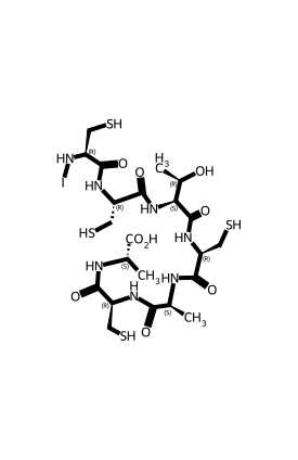 C[C@H](NC(=O)[C@H](CS)NC(=O)[C@H](C)NC(=O)[C@H](CS)NC(=O)[C@@H](NC(=O)[C@H](CS)NC(=O)[C@H](CS)NI)[C@@H](C)O)C(=O)O